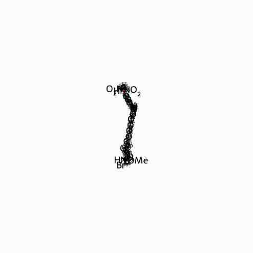 COc1ccc(Br)c2[nH]cc(C(=O)N3CCN(C(=O)c4cccc(OCCOCCOCCOCCOCCOCCn5cc(COCOCOCCNc6c([N+](=O)[O-])cccc6[N+](=O)[O-])nn5)c4)CC3)c12